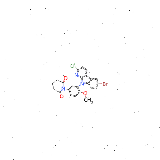 COc1ccc(N2C(=O)CCCC2=O)cc1-n1c2ccc(Br)cc2c2ccc(Cl)nc21